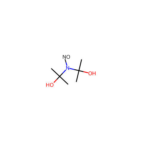 CC(C)(O)N(N=O)C(C)(C)O